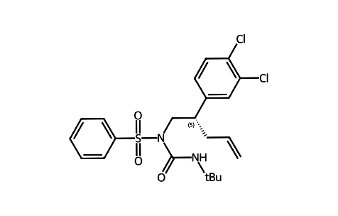 C=CC[C@H](CN(C(=O)NC(C)(C)C)S(=O)(=O)c1ccccc1)c1ccc(Cl)c(Cl)c1